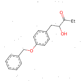 CCC(=O)C(O)Cc1ccc(OCc2ccccc2)cc1